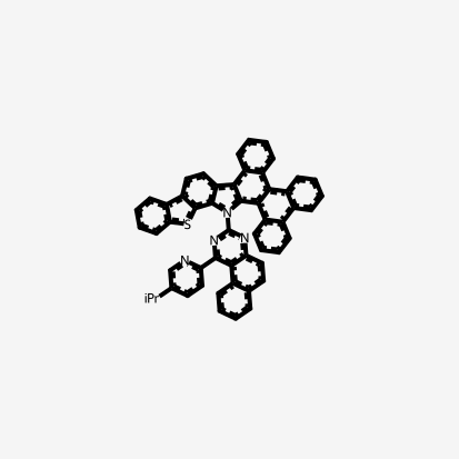 CC(C)c1ccc(-c2nc(-n3c4c(ccc5c6ccccc6sc54)c4c5ccccc5c5c6ccccc6c6ccccc6c5c43)nc3ccc4ccccc4c23)nc1